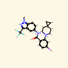 Cn1nc(C(F)(F)F)c2cc(NC(=O)c3ccc(I)cc3N3CCC4(CC3)CC4)ccc21